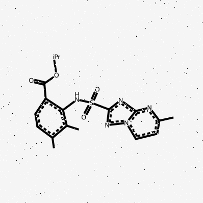 Cc1ccn2nc(S(=O)(=O)Nc3c(C(=O)OC(C)C)ccc(C)c3C)nc2n1